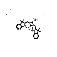 CN1C(=CC2C(O)C(C=C3N(C)c4ccccc4C3(C)C)C2O)C(C)(C)c2ccccc21